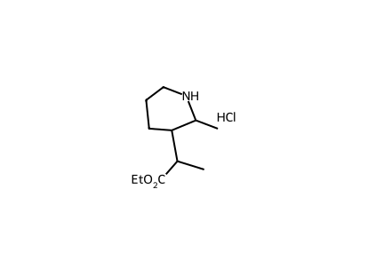 CCOC(=O)C(C)C1CCCNC1C.Cl